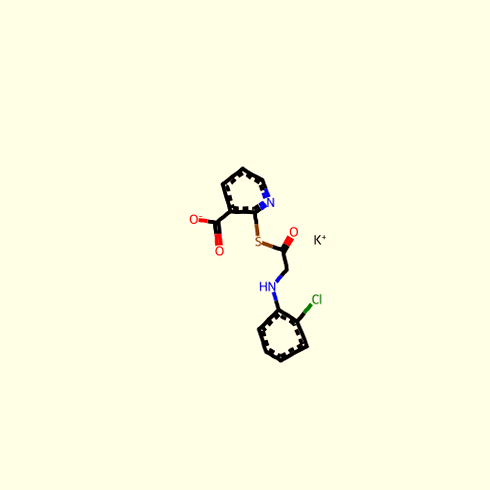 O=C(CNc1ccccc1Cl)Sc1ncccc1C(=O)[O-].[K+]